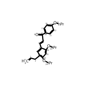 C=CCc1cc(C=CC(=O)c2ccc(OCCC)cc2)c(OC(C)C)cc1OC(C)C